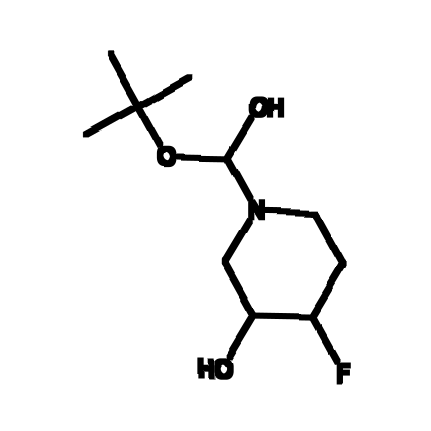 CC(C)(C)OC(O)N1CCC(F)C(O)C1